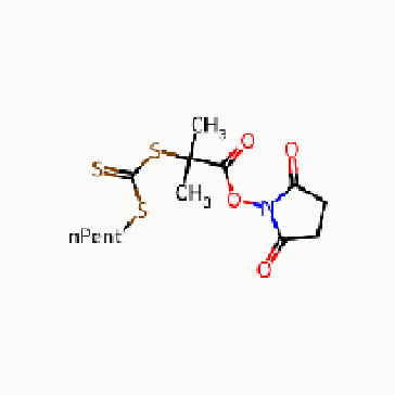 CCCCCSC(=S)SC(C)(C)C(=O)ON1C(=O)CCC1=O